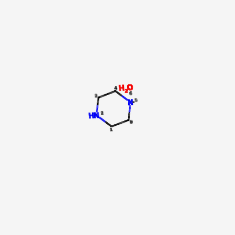 C1CNCC[N]1.O